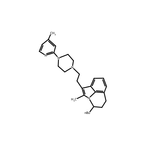 CCCCC1CCc2cccc3c(CCN4CCN(c5cc(C)ccn5)CC4)c(C)n1c23